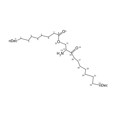 CCCCCCCCCCCCCCCCCC(=O)OCC(N)C(=O)CCCCCCCCCCCCCCCCC